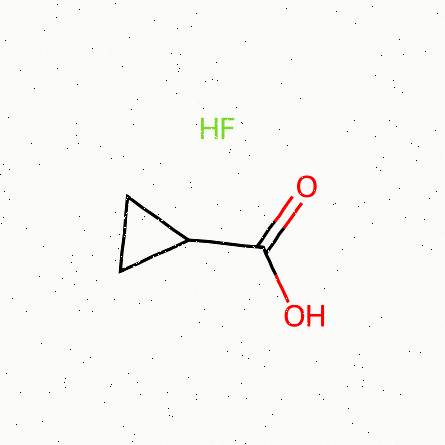 F.O=C(O)C1CC1